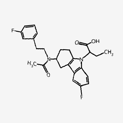 CCC(C(=O)O)n1c2c(c3cc(F)ccc31)CC(N(CCc1cccc(F)c1)C(C)=O)CC2